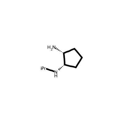 CC(C)N[C@H]1CCC[C@H]1N